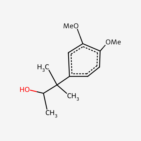 COc1ccc(C(C)(C)C(C)O)cc1OC